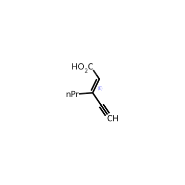 C#C/C(=C/C(=O)O)CCC